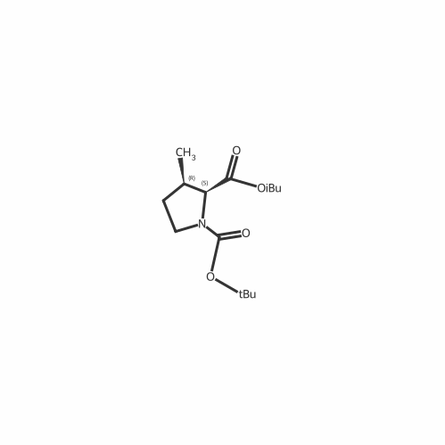 CC(C)COC(=O)[C@@H]1[C@H](C)CCN1C(=O)OC(C)(C)C